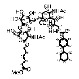 COC(=O)CCCCCO[C@@H]1O[C@H](CO)[C@@H](O[C@@H]2O[C@H](CO[C@]3(C(=O)O)C[C@H](O)[C@@H](NC(C)=O)C([C@H](O)[C@H](O)CNC(=O)c4ccc(-c5ccccc5)cc4)O3)[C@H](O)C(O)[C@H]2O)[C@H](O)[C@H]1NC(C)=O